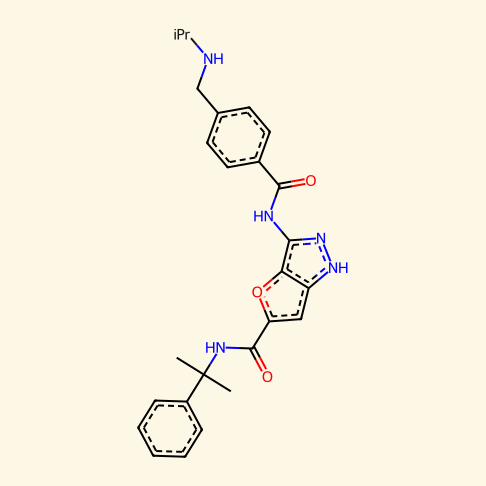 CC(C)NCc1ccc(C(=O)Nc2n[nH]c3cc(C(=O)NC(C)(C)c4ccccc4)oc23)cc1